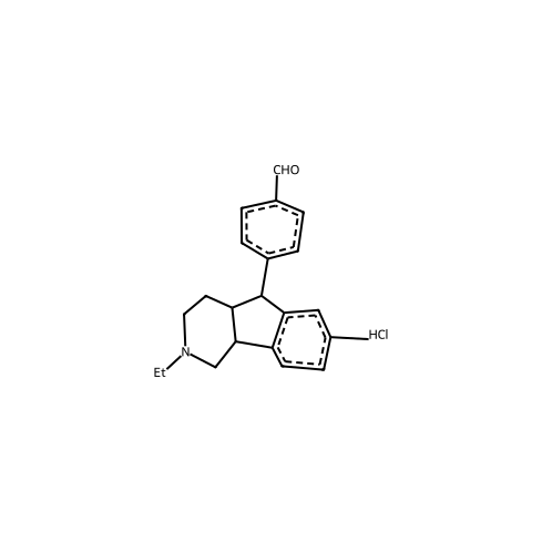 CCN1CCC2C(C1)c1ccc(C)cc1C2c1ccc(C=O)cc1.Cl